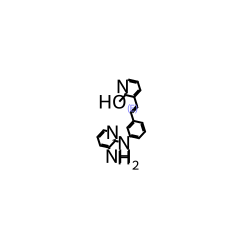 Nc1cccnc1Nc1cccc(/C=C/c2cccnc2O)c1